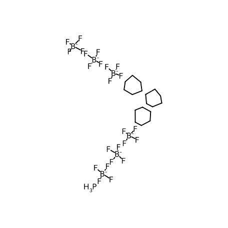 C1CCCCC1.C1CCCCC1.C1CCCCC1.F[B-](F)(F)F.F[B-](F)(F)F.F[B-](F)(F)F.F[B-](F)(F)F.F[B-](F)(F)F.F[B-](F)(F)F.P